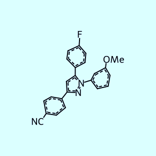 COc1cccc(-n2nc(-c3ccc(C#N)cc3)cc2-c2ccc(F)cc2)c1